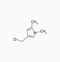 Cc1cc(CCl)cn1C